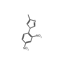 Cc1cn(-c2ccc([N+](=O)[O-])cc2[N+](=O)[O-])cn1